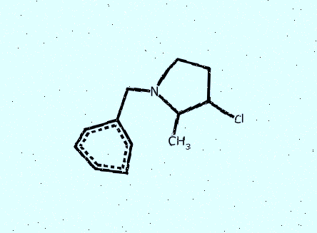 CC1C(Cl)CCN1Cc1ccccc1